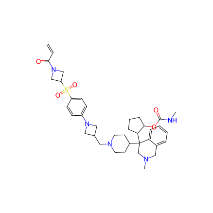 C=CC(=O)N1CC(S(=O)(=O)c2ccc(N3CC(CN4CCC(C5(C6CCCC6OC(=O)NC)CN(C)Cc6ccccc65)CC4)C3)cc2)C1